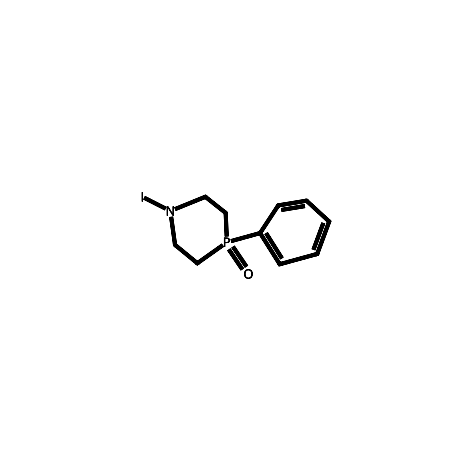 O=P1(c2ccccc2)CCN(I)CC1